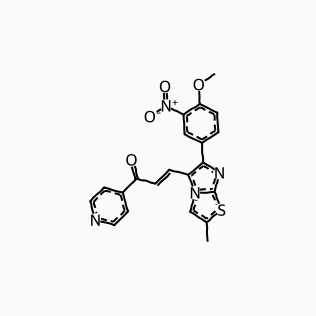 COc1ccc(-c2nc3sc(C)cn3c2C=CC(=O)c2ccncc2)cc1[N+](=O)[O-]